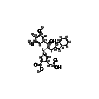 COC(=O)c1cn(C[C@@H](CC2Cc3ccccc3C2)[C@H](O)c2cc(OC)c(C)c(OC)c2)cc1CC(=O)O